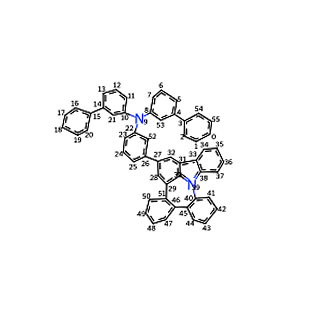 c1ccc(-c2cccc(N(c3cccc(-c4ccccc4)c3)c3cccc(-c4cc5c6c(c4)c4ccccc4n6-c4ccccc4-c4ccccc4-5)c3)c2)cc1